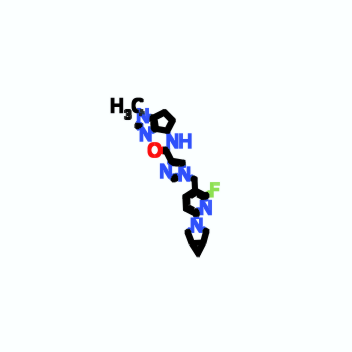 Cn1cnc2c1CC[C@H]2NC(=O)c1cn(Cc2ccc(N3CC4CC4C3)nc2F)cn1